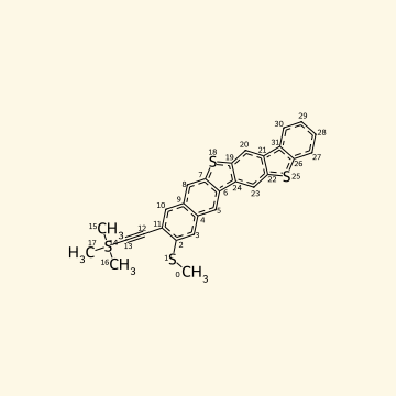 CSc1cc2cc3c(cc2cc1C#CS(C)(C)C)sc1cc2c(cc13)sc1ccccc12